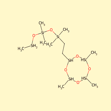 C[SiH2]O[Si](C)(C)O[Si](C)(C)CC[SiH]1O[SiH](C)O[SiH](C)O[SiH](C)O1